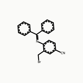 N#Cc1ccc(N=C(c2ccccc2)c2ccccc2)c(CBr)c1